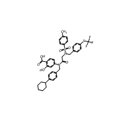 Cc1ccc(S(=O)(=O)N(CC(=O)N(Cc2ccc(C3CCCCC3)cc2)c2ccc(C(=O)O)c(O)c2)Cc2ccc(SC(F)(F)F)cc2)cc1